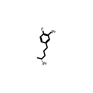 CC(C)c1cc(CCC[C@@H](C)C(C)C)ccc1F